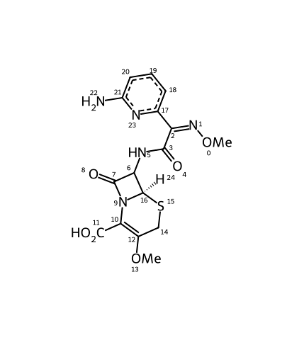 CO/N=C(\C(=O)NC1C(=O)N2C(C(=O)O)=C(OC)CS[C@H]12)c1cccc(N)n1